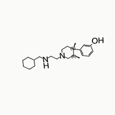 C[C@H]1CN(CCNCC2CCCCC2)CC[C@]1(C)c1cccc(O)c1